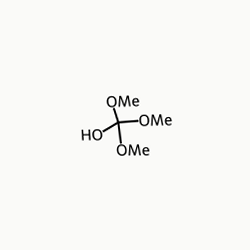 COC(O)(OC)OC